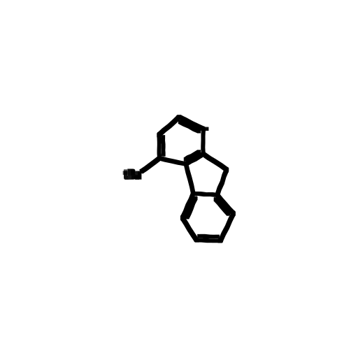 CC(C)(C)c1cc[c]c2c1-c1ccccc1C2